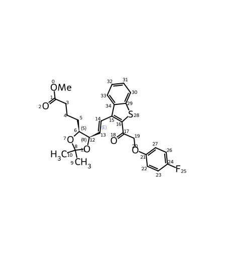 COC(=O)CCC[C@@H]1OC(C)(C)O[C@@H]1/C=C/c1c(C(=O)COc2ccc(F)cc2)sc2ccccc12